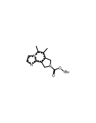 Cc1c2c(c3nccn3c1C)CN(C(=O)OC(C)(C)C)C2